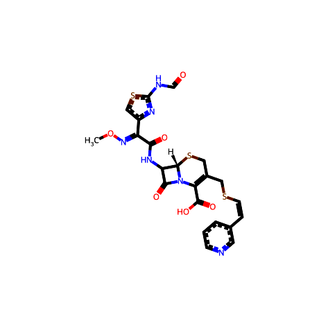 CON=C(C(=O)NC1C(=O)N2C(C(=O)O)=C(CS/C=C\c3cccnc3)CS[C@@H]12)c1csc(NC=O)n1